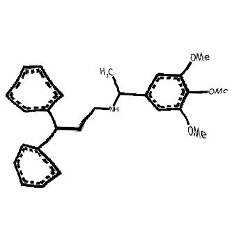 COc1cc(C(C)NCCC(c2ccccc2)c2ccccc2)cc(OC)c1OC